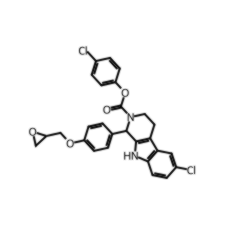 O=C(Oc1ccc(Cl)cc1)N1CCc2c([nH]c3ccc(Cl)cc23)C1c1ccc(OCC2CO2)cc1